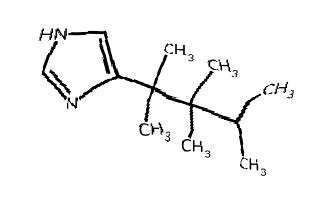 CC(C)C(C)(C)C(C)(C)c1c[nH]cn1